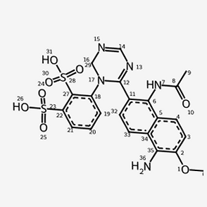 COc1ccc2c(NC(C)=O)c(C3=NC=NCN3c3cccc(S(=O)(=O)O)c3S(=O)(=O)O)ccc2c1N